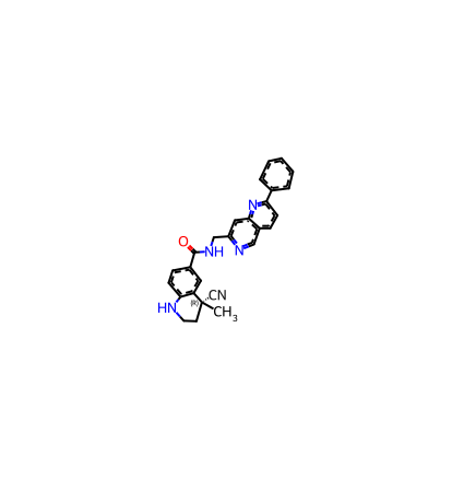 C[C@@]1(C#N)CCNc2ccc(C(=O)NCc3cc4nc(-c5ccccc5)ccc4cn3)cc21